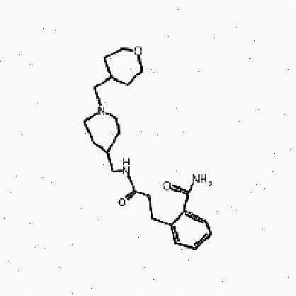 NC(=O)c1ccccc1C[CH]C(=O)NCC1CCN(CC2CCOCC2)CC1